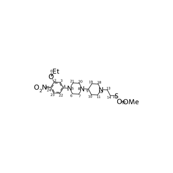 CCOc1cc(N2CCN(C3CCN(CCSOOC)CC3)CC2)ccc1[N+](=O)[O-]